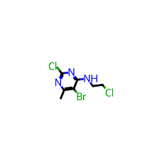 Cc1nc(Cl)nc(NCCCl)c1Br